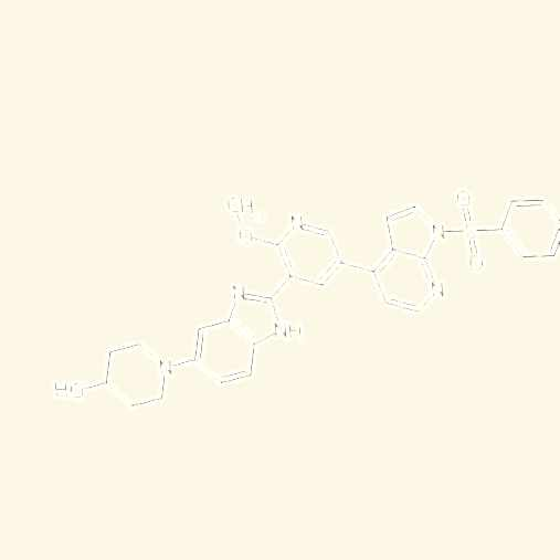 COc1ncc(-c2ccnc3c2ccn3S(=O)(=O)c2ccccc2)cc1-c1nc2cc(N3CCC(O)CC3)ccc2[nH]1